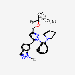 CCOC(=O)[C@@](C)(CC)OCc1cc(-c2ccc3cnn(CC)c3c2)n(-c2ccccc2N2CCCC2)n1